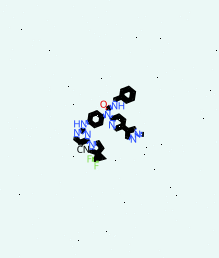 Cn1cc(-c2ccc(N(C(=O)NCc3ccccc3)C3CCC(Nc4ncc(C#N)c(N5CCC6(C5)CC6(F)F)n4)CC3)nc2)cn1